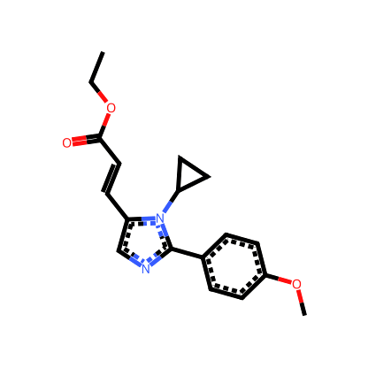 CCOC(=O)C=Cc1cnc(-c2ccc(OC)cc2)n1C1CC1